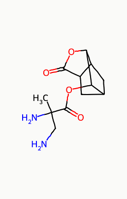 CC(N)(CN)C(=O)OC1C2CC3C(=O)OC1C3C2